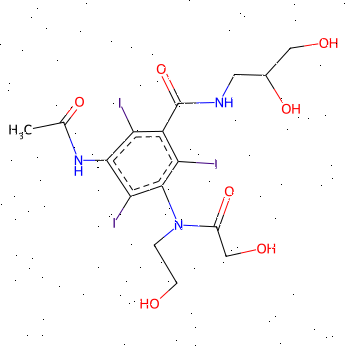 CC(=O)Nc1c(I)c(C(=O)NCC(O)CO)c(I)c(N(CCO)C(=O)CO)c1I